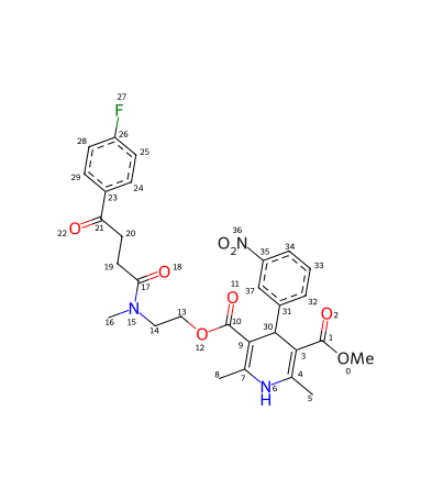 COC(=O)C1=C(C)NC(C)=C(C(=O)OCCN(C)C(=O)CCC(=O)c2ccc(F)cc2)C1c1cccc([N+](=O)[O-])c1